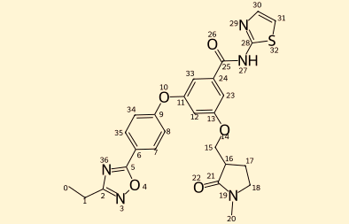 CCc1noc(-c2ccc(Oc3cc(OCC4CCN(C)C4=O)cc(C(=O)Nc4nccs4)c3)cc2)n1